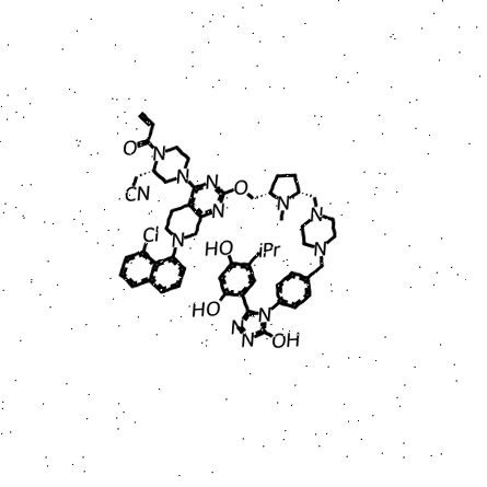 C=CC(=O)N1CCN(c2nc(OC[C@@H]3CC[C@H](CN4CCN(Cc5ccc(-n6c(O)nnc6-c6cc(C(C)C)c(O)cc6O)cc5)CC4)N3C)nc3c2CCN(c2cccc4cccc(Cl)c24)C3)C[C@@H]1CC#N